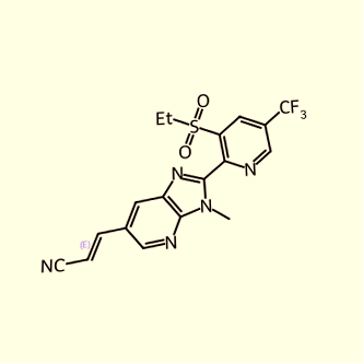 CCS(=O)(=O)c1cc(C(F)(F)F)cnc1-c1nc2cc(/C=C/C#N)cnc2n1C